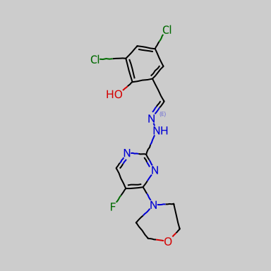 Oc1c(Cl)cc(Cl)cc1/C=N/Nc1ncc(F)c(N2CCOCC2)n1